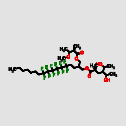 C=C(CC(C(C)O)C(C)O)C(=O)OCC(CCC(F)(F)C(F)(F)C(F)(F)C(F)(F)C(F)(F)C(F)(F)CCCCCCC)COC(=O)C(=C)C(C)OC